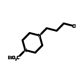 CCOC(=O)N1CCN(CCCCl)CC1